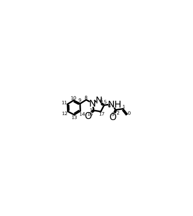 C=CC(=O)NC1=NN(Cc2ccccc2)C(=O)C1